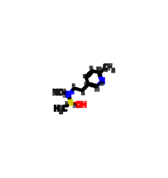 CS(O)=[N+](C#N)CCc1ccc(C(F)(F)F)nc1